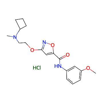 COc1cccc(NC(=O)c2cc(OCCN(C)C3CCC3)no2)c1.Cl